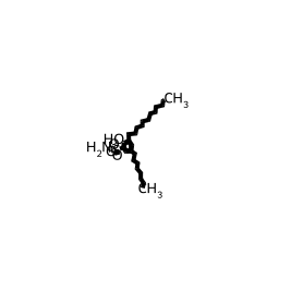 CCCCCCCCCCCCc1cc(CCCCCCCC)cc(S(=O)(=O)ON)c1O